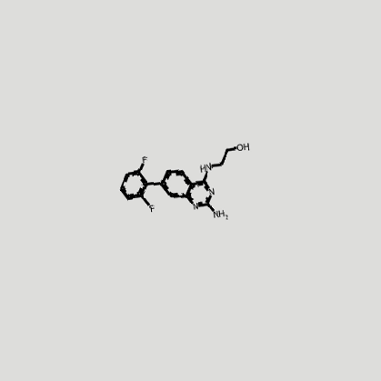 Nc1nc(NCCO)c2ccc(-c3c(F)cccc3F)cc2n1